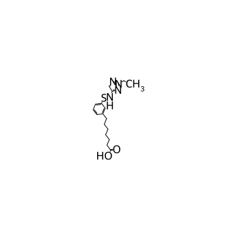 CCn1ncc(NSc2cccc(CCCCCCC(=O)O)c2)n1